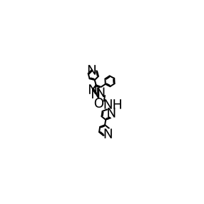 O=C(Cn1nnc(-c2ccncc2)c1-c1ccccc1)Nc1ccc(-c2cccnc2)cn1